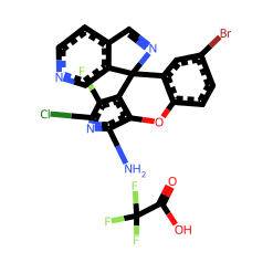 Nc1nc(Cl)c(F)c2c1Oc1ccc(Br)cc1C21N=Cc2ccncc21.O=C(O)C(F)(F)F